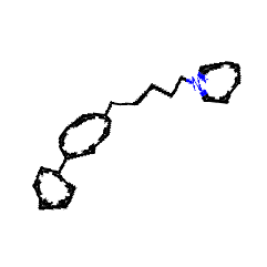 c1ccc(-c2ccc(CCCCC[n+]3ccccc3)cc2)cc1